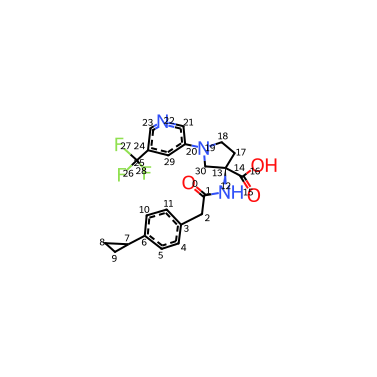 O=C(Cc1ccc(C2CC2)cc1)N[C@]1(C(=O)O)CCN(c2cncc(C(F)(F)F)c2)C1